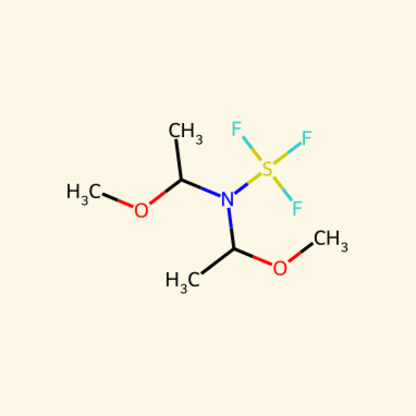 COC(C)N(C(C)OC)S(F)(F)F